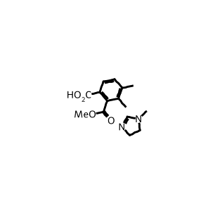 CN1C=NCC1.COC(=O)c1c(C(=O)O)ccc(C)c1C